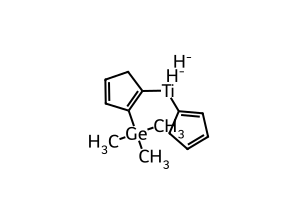 [CH3][Ge]([CH3])([CH3])[C]1=[C]([Ti][C]2=CC=CC2)CC=C1.[H-].[H-]